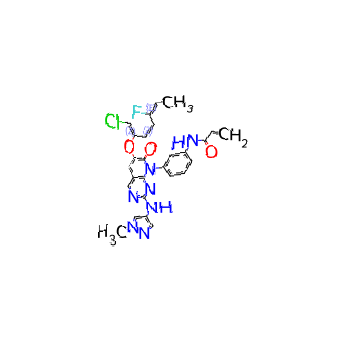 C=CC(=O)Nc1cccc(-n2c(=O)c(OC(/C=C\C(F)=C/C)=C\Cl)cc3cnc(Nc4cnn(C)c4)nc32)c1